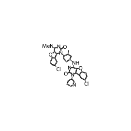 CNc1nc(=O)n(-c2ccc(Nc3nc(=O)n(-c4cccnc4)c4c3oc3ccc(Cl)cc34)cc2C)c2c1oc1ccc(Cl)cc12